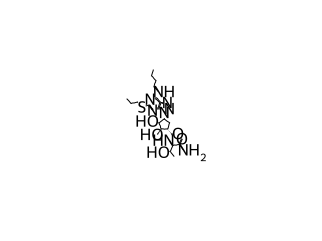 CCCCNc1nc(SCCC)nc2c1nnn2[C@@H]1C[C@H](C(=O)NC(C(N)=O)C(C)O)[C@@H](O)[C@H]1O